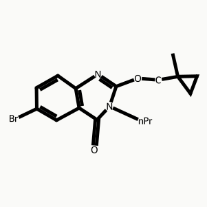 CCCn1c(OCC2(C)CC2)nc2ccc(Br)cc2c1=O